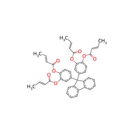 CC=CC(=O)Oc1ccc(C2(c3ccc(OC(=O)C=CC)c(OC(=O)C=CC)c3)c3ccccc3-c3ccccc32)cc1OC(=O)C=CC